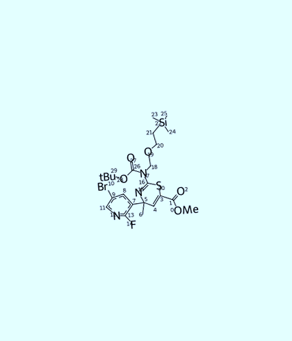 COC(=O)C1=CC(C)(c2cc(Br)cnc2F)N=C(N(COCC[Si](C)(C)C)C(=O)OC(C)(C)C)S1